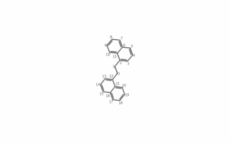 [CH]([CH]c1cccc2ccccc12)c1cccc2ccccc12